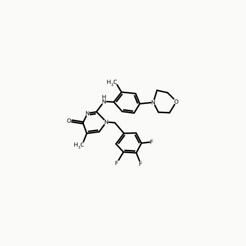 Cc1cc(N2CCOCC2)ccc1Nc1nc(=O)c(C)cn1Cc1cc(F)c(F)c(F)c1